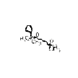 CC(=O)CCCCCC(=O)N(c1ccccc1)C(C)C